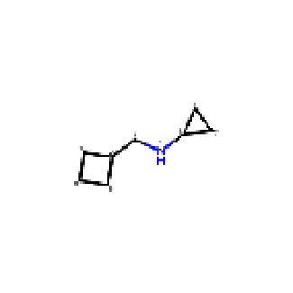 C1CC(CNC2CC2)C1